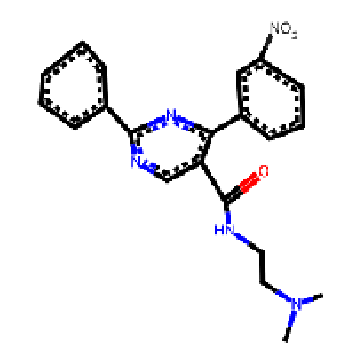 CN(C)CCNC(=O)c1cnc(-c2ccccc2)nc1-c1cccc([N+](=O)[O-])c1